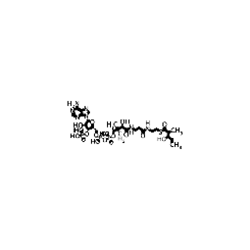 CCC(O)C(C)C(=O)SCCNC(=O)CCNC(=O)[C@H](O)C(C)(C)COP(=O)(O)OP(=O)(O)OC[C@H]1O[C@@H](n2cnc3c(N)ncnc32)[C@H](O)[C@@H]1OP(=O)(O)O